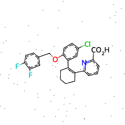 O=C(O)c1cccc(C2=C(c3cc(Cl)ccc3OCc3ccc(F)c(F)c3)CCCC2)n1